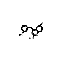 COc1cccc(Cc2nc(N)nc3ccc(Cl)nc23)c1